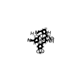 CC(OC(=O)C1=C(CCc2ccc3c(c2)OCO3)NC(=O)NC1c1cccc(C#N)c1)c1cccc(C#N)c1